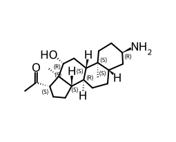 CC(=O)[C@H]1CC[C@H]2[C@@H]3CC[C@H]4C[C@H](N)CC[C@]4(C)[C@H]3C[C@@H](O)[C@]12C